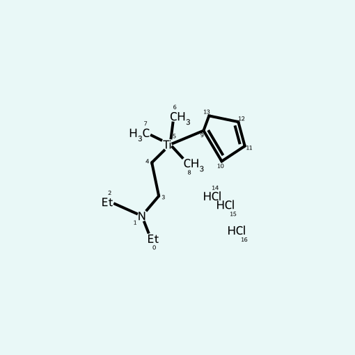 CCN(CC)C[CH2][Ti]([CH3])([CH3])([CH3])[C]1=CC=CC1.Cl.Cl.Cl